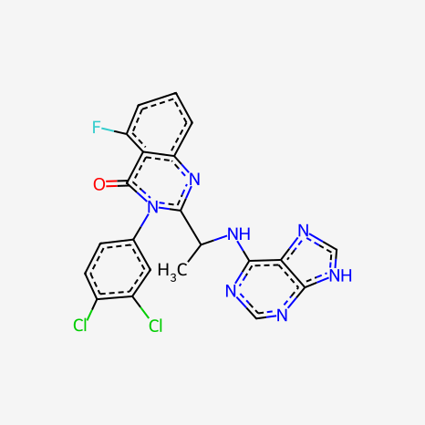 CC(Nc1ncnc2[nH]cnc12)c1nc2cccc(F)c2c(=O)n1-c1ccc(Cl)c(Cl)c1